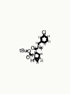 CC(C)(C)OC(=O)N1[C@H](C(=O)N(F)Cc2cccc(Cl)c2)C[C@@]2(C)C[C@@H]12